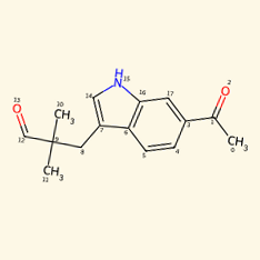 CC(=O)c1ccc2c(CC(C)(C)C=O)c[nH]c2c1